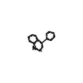 [c]1cc(-c2ccccc2)c2ccccc2n1